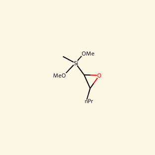 CCCC1OC1[Si](C)(OC)OC